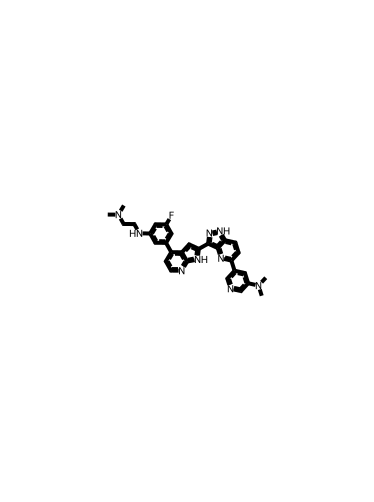 CN(C)CCNc1cc(F)cc(-c2ccnc3[nH]c(-c4n[nH]c5ccc(-c6cncc(N(C)C)c6)nc45)cc23)c1